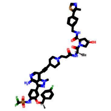 Cc1ncsc1-c1ccc(CNC(=O)[C@@H]2C[C@@H](O)CN2C(=O)[C@@H](NC(=O)CCN2CCC(C#Cc3cnc(N)c4c(-c5ccc(NS(=O)(=O)C(F)F)c(O[C@@H](C)c6ccc(F)cc6)c5)nn(C)c34)CC2)C(C)(C)C)cc1